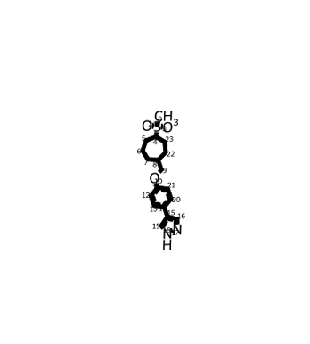 CS(=O)(=O)C1CCCC(COc2ccc(-c3cn[nH]c3)cc2)CC1